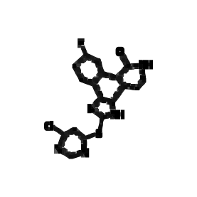 O=c1[nH]ccc2c3[nH]c(Sc4cc(Cl)ncn4)nc3c3ccc(F)cc3c12